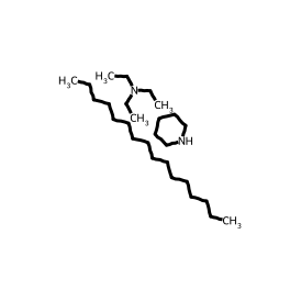 C1CCNCC1.CCCCCCCCCCCCCCCC.CCN(CC)CC